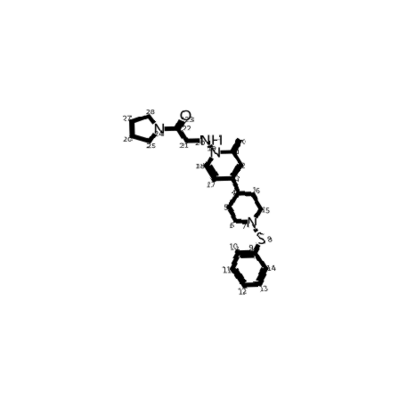 C=C1C=C(C2CCN(Sc3ccccc3)CC2)C=CN1NCC(=O)N1CCCC1